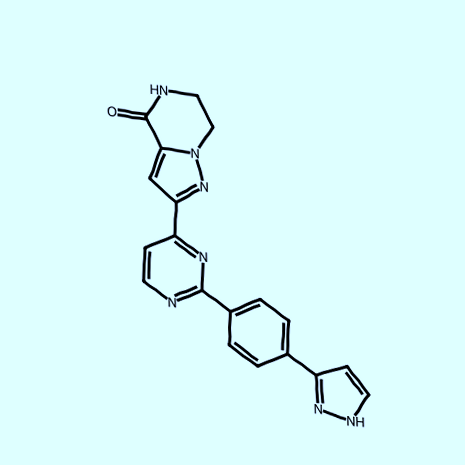 O=C1NCCn2nc(-c3ccnc(-c4ccc(-c5cc[nH]n5)cc4)n3)cc21